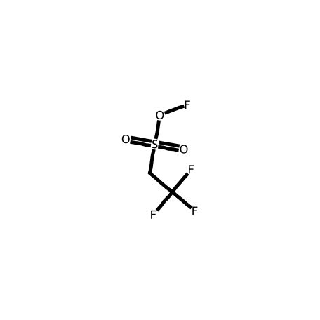 O=S(=O)(CC(F)(F)F)OF